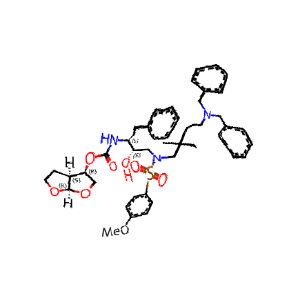 COc1ccc(S(=O)(=O)N(C[C@H](O)[C@H](Cc2ccccc2)NC(=O)O[C@H]2CO[C@H]3OCC[C@H]32)CC(C)(C)CCN(Cc2ccccc2)Cc2ccccc2)cc1